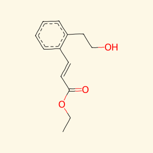 CCOC(=O)C=Cc1ccccc1CCO